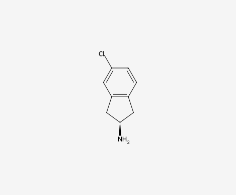 N[C@@H]1Cc2ccc(Cl)cc2C1